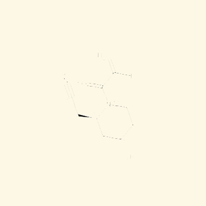 C=C(F)C(=O)N1CC[C@H](C)C[C@H]1CC#N